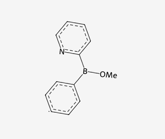 COB(c1cc[c]cc1)c1ccccn1